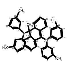 Cc1cccc(N(C2=C3C=CC=CC3C(C)(N(c3cccc(C)c3)c3cccc(C)c3)C3CC=CC=C23)c2cccc(C)c2)c1